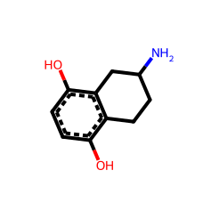 NC1CCc2c(O)ccc(O)c2C1